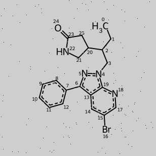 CCC(Cn1nc(-c2ccccc2)c2cc(Br)cnc21)C1CNC(=O)C1